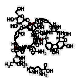 CN[C@H](CC(C)C)C(=O)N[C@H]1C(=O)N[C@@H](CC(N)=O)C(=O)N[C@H]2C(=O)N[C@H]3C(=O)N[C@H](C(=O)N[C@@H](C(=O)O)c4cc(O)cc(O)c4-c4cc3ccc4O)[C@H](O)c3ccc(c(Cl)c3)Oc3cc2cc(c3O[C@@H]2O[C@H](CO)[C@@H](O)[C@H](O)[C@H]2O[C@H]2C[C@](C)(N)C(O)[C@H](C)O2)Oc2ccc(cc2Cl)[C@H]1O.N[C@@H](Cc1cnc[nH]1)C(=O)O